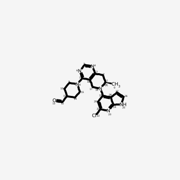 C[C@@H]1Cc2ncnc(N3CCC(C=O)CC3)c2CN1c1cc(Cl)nc2[nH]ccc12